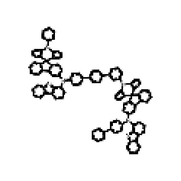 c1ccc(-c2ccc(N(c3ccc4c(c3)-c3ccccc3C43c4ccccc4N(c4cccc(-c5ccc(-c6ccc(N(c7ccc8c(c7)-c7ccccc7C87c8ccccc8N(c8ccccc8)c8ccccc87)c7cccc8c7oc7ccccc78)cc6)cc5)c4)c4ccccc43)c3cccc4c3sc3ccccc34)cc2)cc1